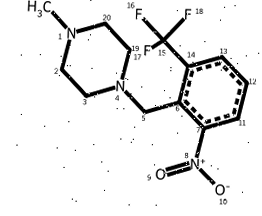 CN1CCN(Cc2c([N+](=O)[O-])cccc2C(F)(F)F)CC1